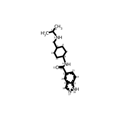 CC(C)NCC1CCC(NC(=O)c2ccc3[nH]ncc3c2)CC1